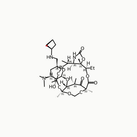 CC[C@H]1OC(=O)[C@@]2(C)CCO[C@@](C)(C[C@@H](C)CN[C@H](C)[C@H]3NC(=O)O[C@@]31C)[C@H](O[C@@H]1O[C@H](CNC34CC(C3)C4)C[C@H](N(C)C)[C@H]1O)[C@@H](C)C2=O